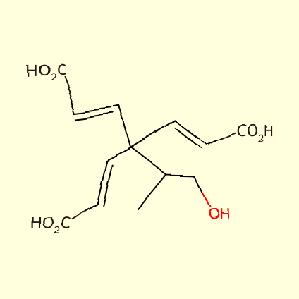 CC(CO)C(C=CC(=O)O)(C=CC(=O)O)C=CC(=O)O